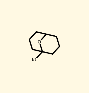 CCC12CCCC(CCC1)O2